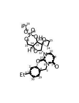 CCc1ccc(Cn2c(=O)ccn([C@@H]3O[C@@H]4CO[P@](=O)(OC(C)C)O[C@H]4[C@]34CCO4)c2=O)cc1